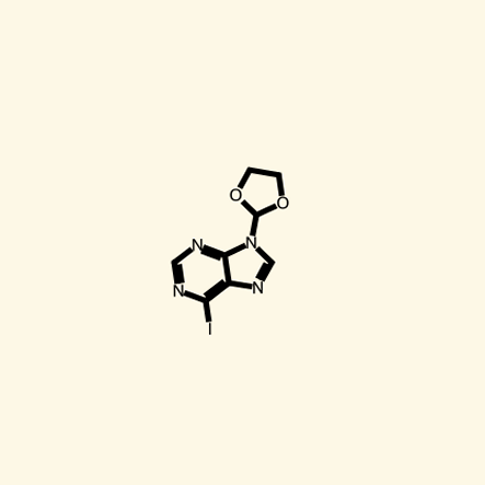 Ic1ncnc2c1ncn2C1OCCO1